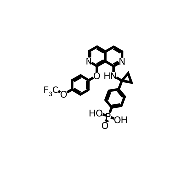 O=P(O)(O)c1ccc(C2(Nc3nccc4ccnc(Oc5ccc(OC(F)(F)F)cc5)c34)CC2)cc1